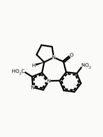 O=C(O)c1ncn2c1[C@@H]1CCCN1C(=O)c1c-2cccc1[N+](=O)[O-]